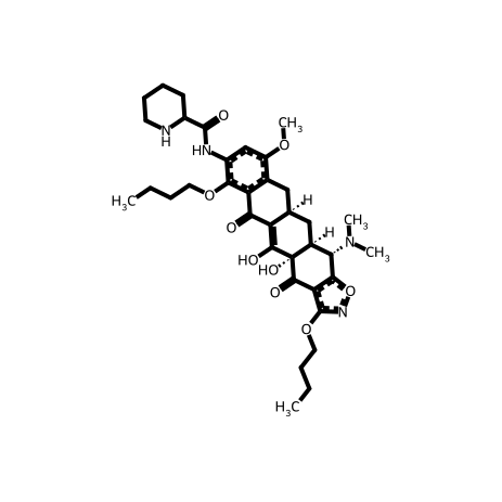 CCCCOc1noc2c1C(=O)[C@@]1(O)C(O)=C3C(=O)c4c(c(OC)cc(NC(=O)C5CCCCN5)c4OCCCC)C[C@H]3C[C@H]1[C@@H]2N(C)C